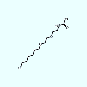 CC(C)C(=O)NCCOCCOCCCCCCCl